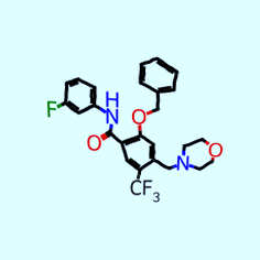 O=C(Nc1cccc(F)c1)c1cc(C(F)(F)F)c(CN2CCOCC2)cc1OCc1ccccc1